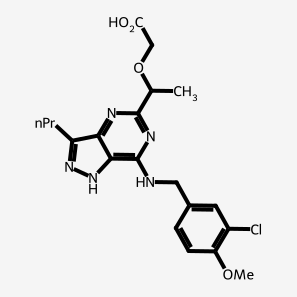 CCCc1n[nH]c2c(NCc3ccc(OC)c(Cl)c3)nc(C(C)OCC(=O)O)nc12